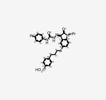 CCCN1C(=O)/C(=N/NC(=O)Nc2ccc(F)cc2)c2cc(SCCCc3ccc(C(=O)O)cc3)ccc21